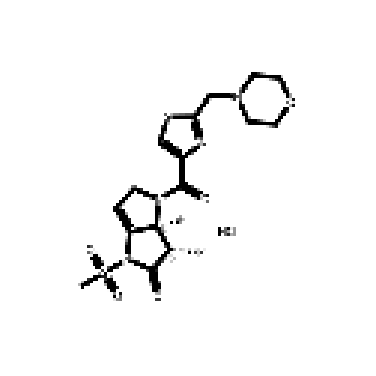 CC(C)[C@@H]1C(=O)N(S(C)(=O)=O)C2=CCN(C(=O)c3csc(CN4CCOCC4)n3)[C@H]21.Cl